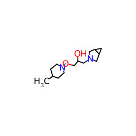 CC1CCN(OCC(O)CN2CC3CC3C2)CC1